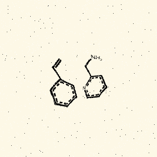 C=Cc1ccccc1.NCc1ccccn1